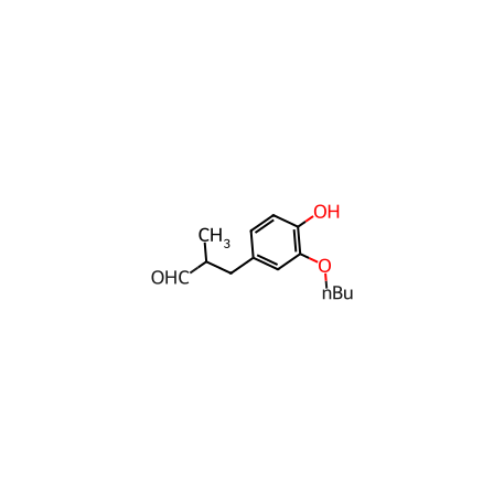 CCCCOc1cc(CC(C)C=O)ccc1O